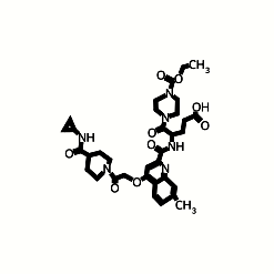 CCOC(=O)N1CCN(C(=O)C(CCC(=O)O)NC(=O)c2cc(OCC(=O)N3CCC(C(=O)NC4CC4)CC3)c3ccc(C)cc3n2)CC1